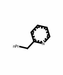 [CH2]CC[CH]c1ccccn1